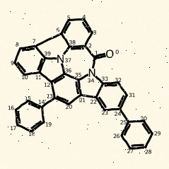 O=c1c2cccc3c4cccc5c6c(-c7ccccc7)cc7c8cc(-c9ccccc9)ccc8n1c7c6n(c23)c45